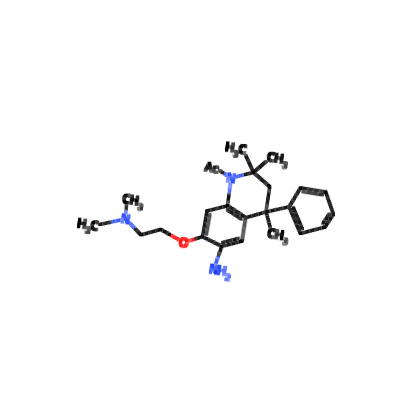 CC(=O)N1c2cc(OCCN(C)C)c(N)cc2C(C)(c2ccccc2)CC1(C)C